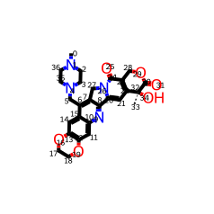 CN1CCN(Cc2c3c(nc4cc5c(cc24)OCCO5)-c2cc4c(c(=O)n2C3)COC(=O)[C@@]4(C)O)CC1